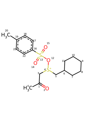 CC(=O)C[S+](CC1CCCCC1)OS(=O)(=O)c1ccc(C)cc1